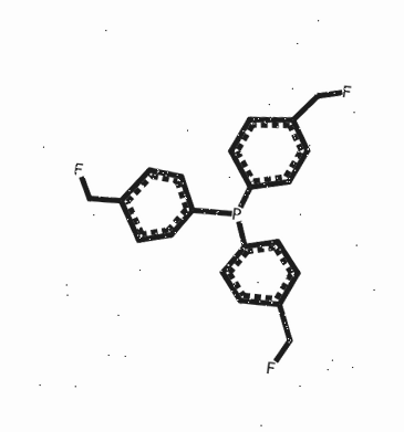 FCc1ccc(P(c2ccc(CF)cc2)c2ccc(CF)cc2)cc1